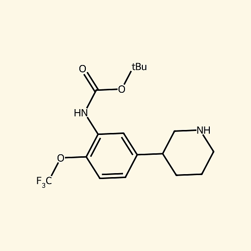 CC(C)(C)OC(=O)Nc1cc(C2CCCNC2)ccc1OC(F)(F)F